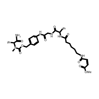 COC(=O)/C=C\C(=O)NCCCCCC(=O)NC(C(=O)NCC(=O)Nc1ccc(COC(=O)N(C)C(C(N)=O)C(C)C)cc1)C(C)C